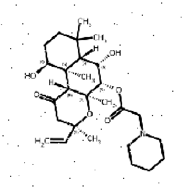 C=C[C@@]1(C)CC(=O)[C@H]2[C@](C)(O1)[C@@H](OC(=O)CN1CCCCC1)[C@@H](O)[C@H]1C(C)(C)CC[C@H](O)[C@@]12C